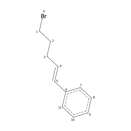 BrCCCC=Cc1ccccc1